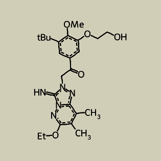 CCOc1nn2c(=N)n(CC(=O)c3cc(OCCO)c(OC)c(C(C)(C)C)c3)nc2c(C)c1C